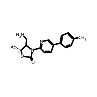 CC(=O)[C@H]1OC(=O)N(c2ccc(-c3ccc(C)cc3)cn2)C1CN